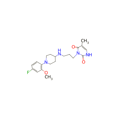 COc1cc(F)ccc1N1CCC(NCCCn2c(=O)[nH]cc(C)c2=O)CC1